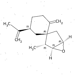 C=C(C)[C@H]1CCC(=C)[C@]2(C1)C[C@H]1O[C@H]1[C@@H]2C